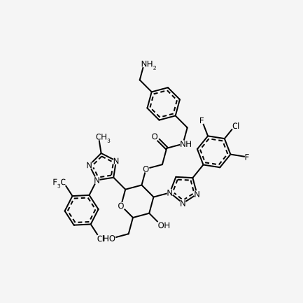 Cc1nc(C2OC(CO)C(O)C(n3cc(-c4cc(F)c(Cl)c(F)c4)nn3)C2OCC(=O)NCc2ccc(CN)cc2)n(-c2cc(Cl)ccc2C(F)(F)F)n1